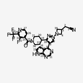 N#CCC1CN(n2cc(-c3ncnc4[nH]ccc34)c(C3CCN(C(=O)c4ccnc(C(F)(F)F)c4F)CC3)n2)C1